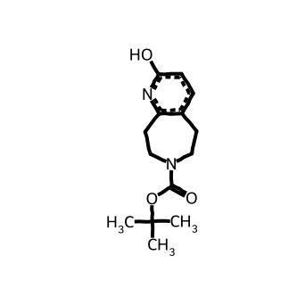 CC(C)(C)OC(=O)N1CCc2ccc(O)nc2CC1